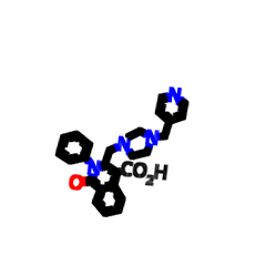 O=C(O)c1c(CN2CCN(Cc3ccncc3)CC2)n(-c2ccccc2)c(=O)c2ccccc12